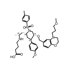 COCCCN1CCOc2ccc(CO[C@H]3CN(S(=O)(=O)c4ccc(C)cc4)[C@@H](C[C@@H](C)NCCCC(=O)O)C[C@@H]3c3ccc(OC)cc3)cc21